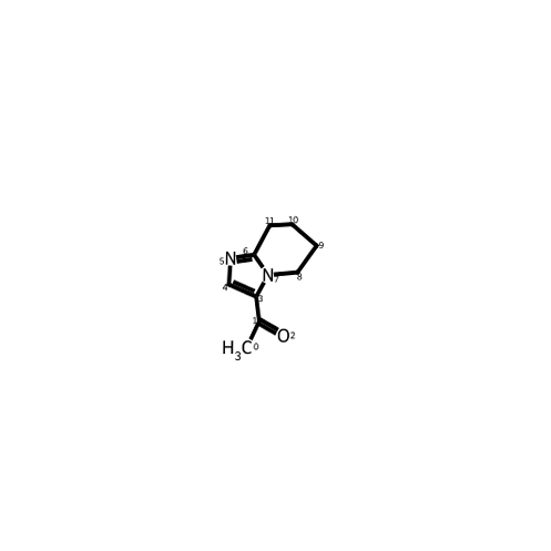 CC(=O)c1cnc2n1CCCC2